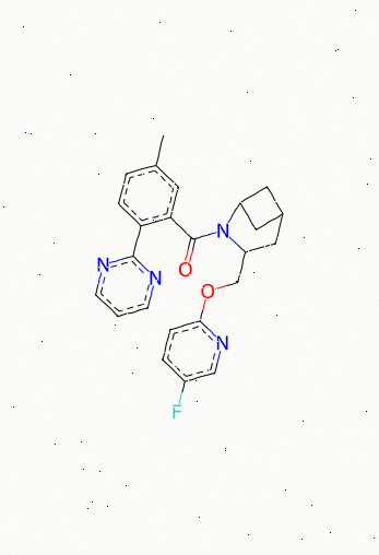 Cc1ccc(-c2ncccn2)c(C(=O)N2C(COc3ccc(F)cn3)CC3CC2C3)c1